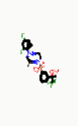 C[C@@H]1CN(c2ccc(F)cc2F)CCN1S(=O)(=O)c1cccc(C(C)(O)C(F)(F)F)c1